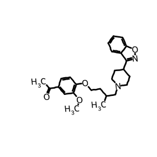 COc1cc(C(C)=O)ccc1OCCC(C)CN1CCC(c2noc3ccccc23)CC1